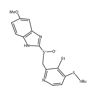 CCCCSc1ccnc(C[S+]([O-])c2nc3cc(OC)ccc3[nH]2)c1CC